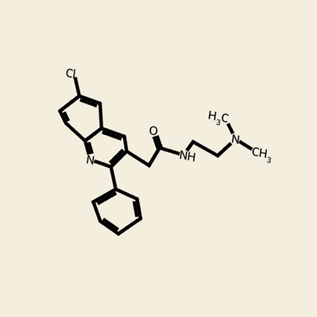 CN(C)CCNC(=O)Cc1cc2cc(Cl)ccc2nc1-c1ccccc1